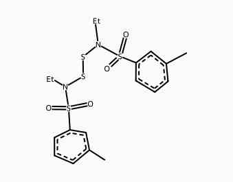 CCN(SSN(CC)S(=O)(=O)c1cccc(C)c1)S(=O)(=O)c1cccc(C)c1